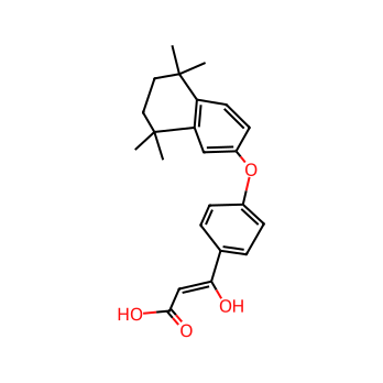 CC1(C)CCC(C)(C)c2cc(Oc3ccc(C(O)=CC(=O)O)cc3)ccc21